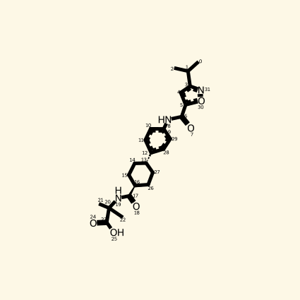 CC(C)c1cc(C(=O)Nc2ccc([C@H]3CC[C@H](C(=O)NC(C)(C)C(=O)O)CC3)cc2)on1